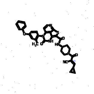 Cc1cc(Oc2ccccc2)ccc1N1C(=O)Nc2c(C(=O)NC3CCN(C(=O)/C(C#N)=C/C4CC4)CC3)sc3nccc1c23